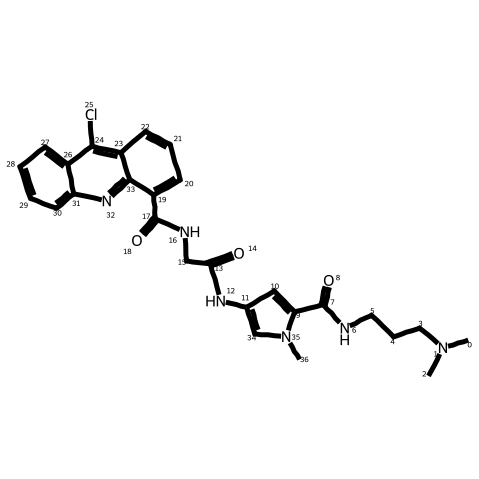 CN(C)CCCNC(=O)c1cc(NC(=O)CNC(=O)c2cccc3c(Cl)c4ccccc4nc23)cn1C